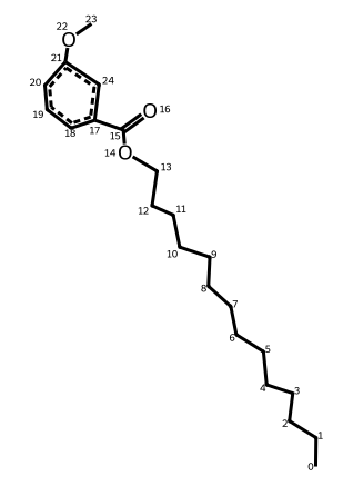 CCCCCCCCCCCCCCOC(=O)c1cccc(OC)c1